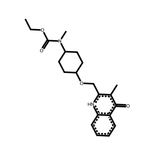 CCOC(=O)N(C)C1CCC(OCc2[nH]c3ccccc3c(=O)c2C)CC1